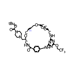 CC(C)(C)OC(=O)N1CCN(CC2CNC(=O)c3ccc(cc3)Nc3nc(nc(OCC(F)(F)F)n3)NCc3ccc(cc3)OC/C=C/CO2)CC1